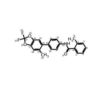 Cc1ccccc1C(=O)Nc1ccc(-c2cc3c(cc2C)OC(F)(F)O3)cc1